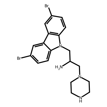 NC(CN1CCNCC1)Cn1c2ccc(Br)cc2c2cc(Br)ccc21